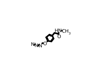 CNC(=O)Cc1ccc(OCN=[N+]=[N-])cc1